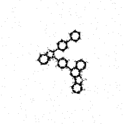 c1ccc(-c2ccc(-c3nc4ccccc4n3-c3ccc(-c4cc5c6ccccc6oc5c5ccccc45)cc3)cc2)cc1